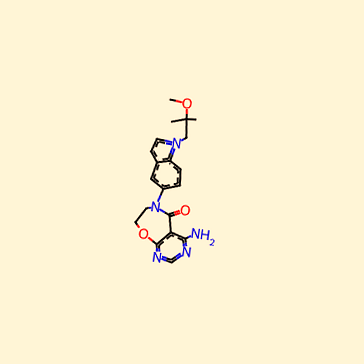 COC(C)(C)Cn1ccc2cc(N3CCOc4ncnc(N)c4C3=O)ccc21